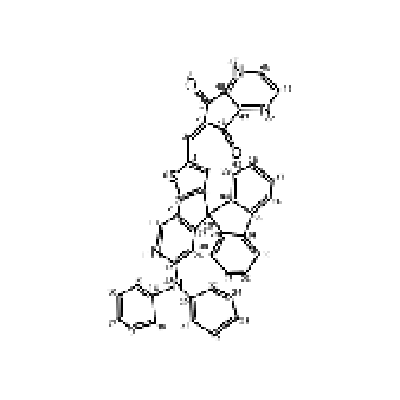 O=C1C(=Cc2cc3c(s2)-c2cnc(N(c4ccccc4)c4ccccc4)cc2C32c3ccccc3-c3ccccc32)C(=O)c2nccnc21